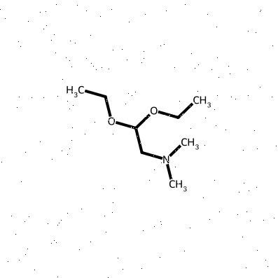 CCOC(CN(C)C)OCC